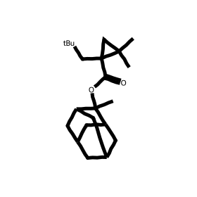 CC(C)(C)CC1(C(=O)OC2(C)C3CC4CC(C3)CC2C4)CC1(C)C